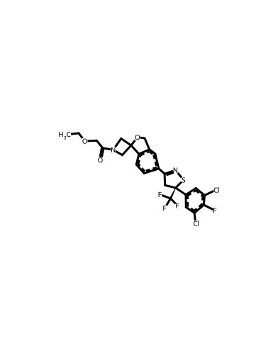 CCOCC(=O)N1CC2(C1)OCc1cc(C3=NS[C@@](c4cc(Cl)c(F)c(Cl)c4)(C(F)(F)F)C3)ccc12